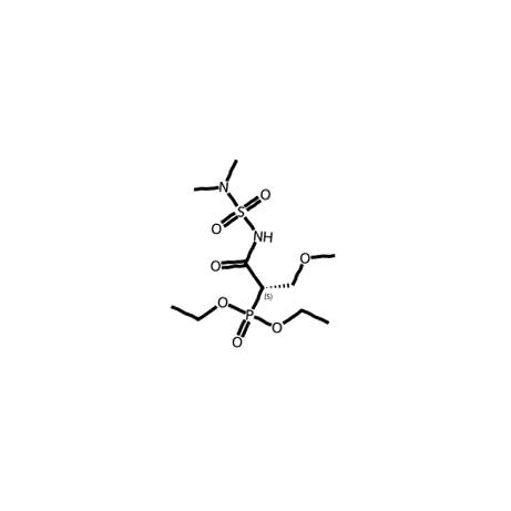 CCOP(=O)(OCC)[C@@H](COC)C(=O)NS(=O)(=O)N(C)C